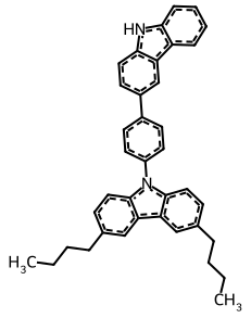 CCCCc1ccc2c(c1)c1cc(CCCC)ccc1n2-c1ccc(-c2ccc3[nH]c4ccccc4c3c2)cc1